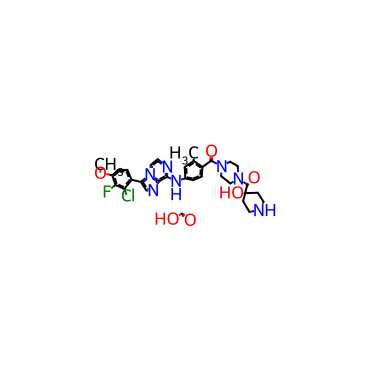 COc1ccc(-c2cnc3c(Nc4ccc(C(=O)N5CCN(C(=O)C6(O)CCNCC6)CC5)c(C)c4)nccn23)c(Cl)c1F.O=CO